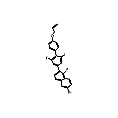 C=CCOc1ccc(-c2c(F)cc(-c3ccc4cc(CC)ccc4c3F)cc2F)cc1